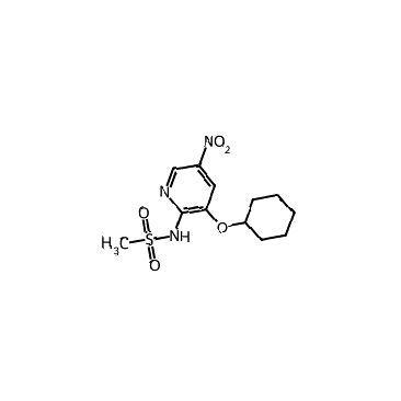 CS(=O)(=O)Nc1ncc([N+](=O)[O-])cc1OC1CCCCC1